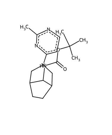 Cc1nccc(N2CC3CCC(C2)C3NC(=O)OC(C)(C)C)n1